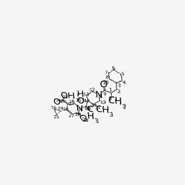 CC(CC1CCCCC1)C(=O)N1CCC(O)(Cn2cc(C(=O)O)c(C3CC3)cc2=O)C(C)(C)C1